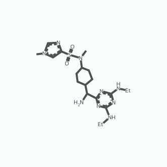 CCNc1nc(NCC)nc(C(N)C2CCC(N(C)S(=O)(=O)c3cn(C)cn3)CC2)n1